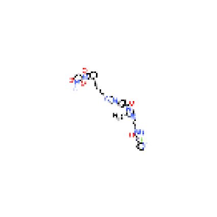 CC1CN(CCCCNC(=O)/C=C/c2cccnc2F)CCN(C(=O)c2ccc(N3CCN(CCCCCC#Cc4cccc5c4CN(C4CCC(=O)NC4=O)C5=O)CC3)cc2)C1